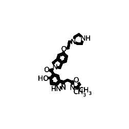 CC1(C)COC(Cc2n[nH]c3cc(O)c(C(=O)N4Cc5ccc(OCCN6CCNCC6)cc5C4)cc23)=N1